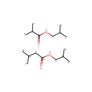 CC(C)COC(=O)C(C)C.CC(C)COC(=O)CC(C)C